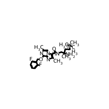 Cc1cn2c(C(=O)NCC(C)(N)CC[Si](C)(C)C)c(C)nc2c(OCc2c(F)cccc2F)n1